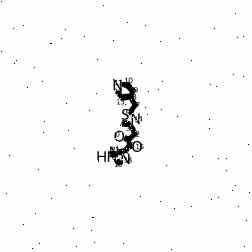 O=C(Cc1csc(Cc2ccncc2)n1)C(=O)c1nc[nH]n1